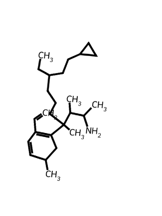 C=CC1=C(C(C)(CCCC(CC)CCC2CC2)C(C)C(C)N)CC(C)C=C1